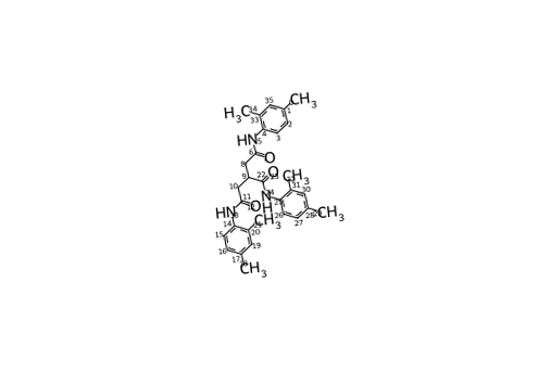 Cc1ccc(NC(=O)CC(CC(=O)Nc2ccc(C)cc2C)C(=O)Nc2ccc(C)cc2C)c(C)c1